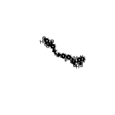 CP(C)(=O)c1c(Nc2nc(Nc3ccc(N4CCN(C5CN(CC6CN(c7ccc8c(c7)C(=O)N(C7CCC(=O)NC7=O)C8=O)C6)C5)CC4)c(F)c3)ncc2Br)ccc2nccnc12